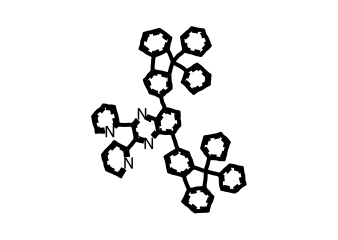 c1ccc(C2(c3ccccc3)c3ccccc3-c3ccc(-c4ccc(-c5ccc6c(c5)C(c5ccccc5)(c5ccccc5)c5ccccc5-6)c5nc(-c6ccccn6)c(-c6ccccn6)nc45)cc32)cc1